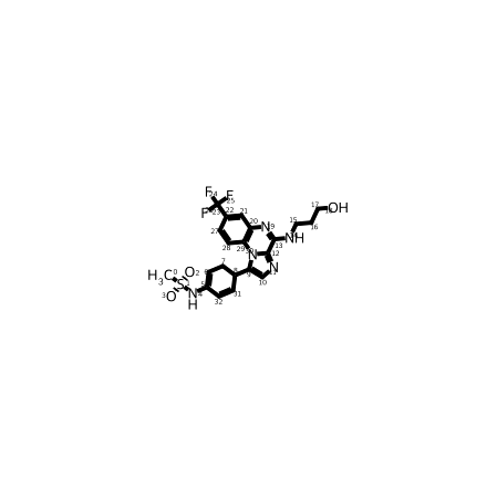 CS(=O)(=O)NC1=CCC(c2cnc3c(NCCCO)nc4cc(C(F)(F)F)ccc4n23)C=C1